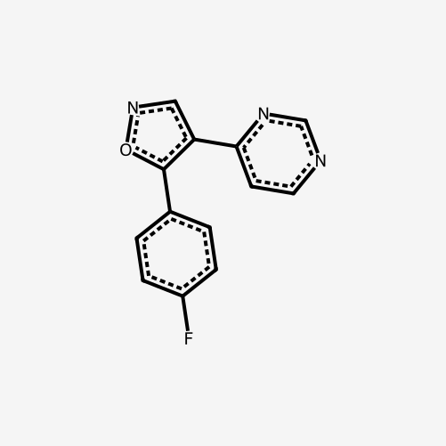 Fc1ccc(-c2oncc2-c2ccncn2)cc1